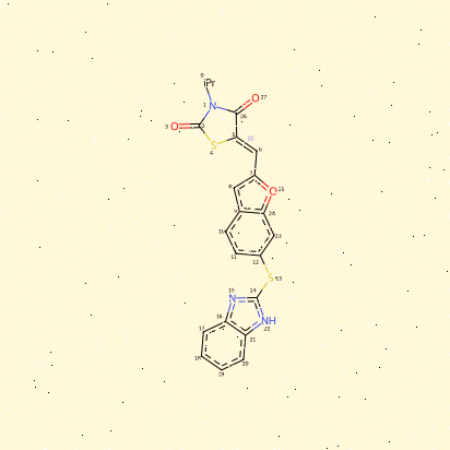 CC(C)N1C(=O)S/C(=C\c2cc3ccc(Sc4nc5ccccc5[nH]4)cc3o2)C1=O